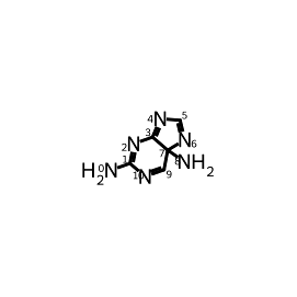 NC1=NC2=NC=NC2(N)C=N1